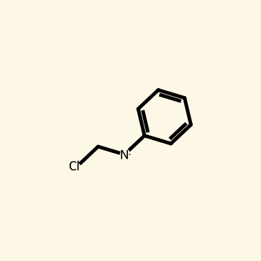 ClC[N]c1ccccc1